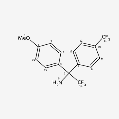 COc1ccc(C(N)(c2ccc(C(F)(F)F)cc2)C(F)(F)F)cc1